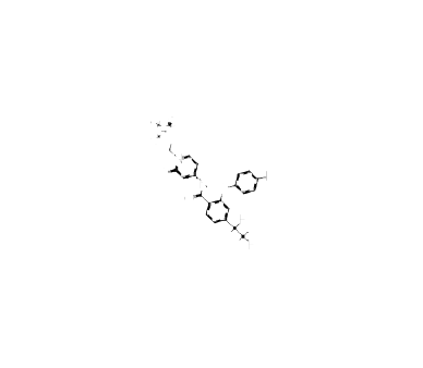 O=C(Nc1ccn(COP(=O)(O)O)c(=O)c1)c1ccc(C(F)(F)C(F)(F)F)cc1Oc1ccc(F)cc1